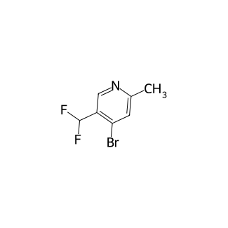 Cc1cc(Br)c(C(F)F)cn1